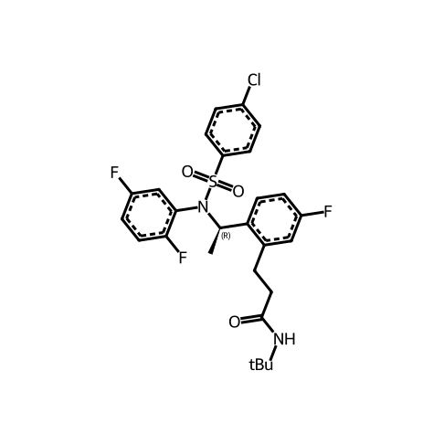 C[C@H](c1ccc(F)cc1CCC(=O)NC(C)(C)C)N(c1cc(F)ccc1F)S(=O)(=O)c1ccc(Cl)cc1